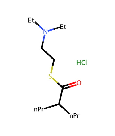 CCCC(CCC)C(=O)SCCN(CC)CC.Cl